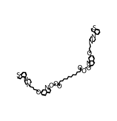 O=C(CCCCCCCCCCC(=O)OCOc1ccc2ccc(OCCCCN3CCN(c4cccc5sccc45)CC3)cc2n1)OCOc1ccc2ccc(OCCCCN3CCN(c4cccc5sccc45)CC3)cc2n1